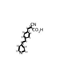 N#CC(=Cc1ccc(C=Cc2ccncc2)cc1)C(=O)O